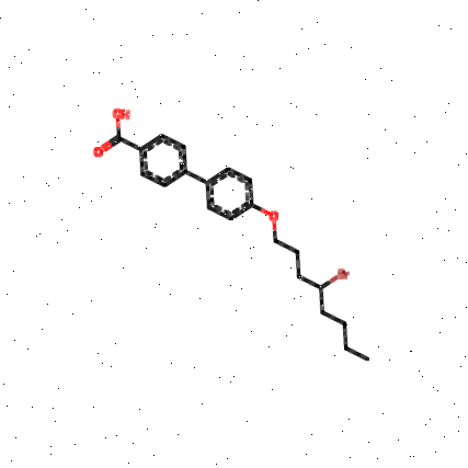 CCCCC(Br)CCCOc1ccc(-c2ccc(C(=O)O)cc2)cc1